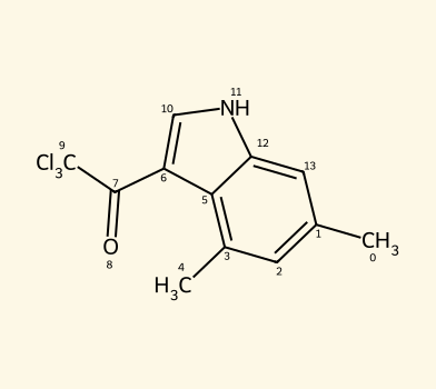 Cc1cc(C)c2c(C(=O)C(Cl)(Cl)Cl)c[nH]c2c1